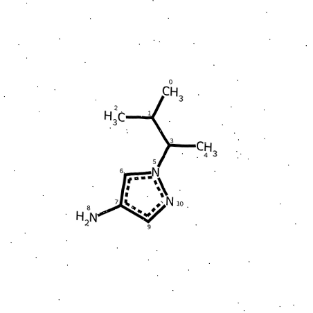 CC(C)C(C)n1cc(N)cn1